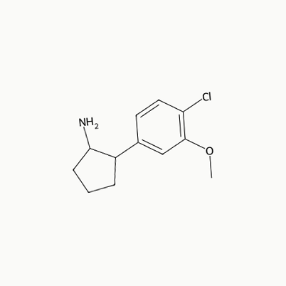 COc1cc(C2CCCC2N)ccc1Cl